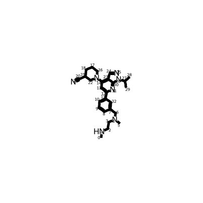 CNCCN(C)Cc1cccc(-c2cc(N3CCCC(C#N)C3)c3cnn(C(C)C)c3n2)c1